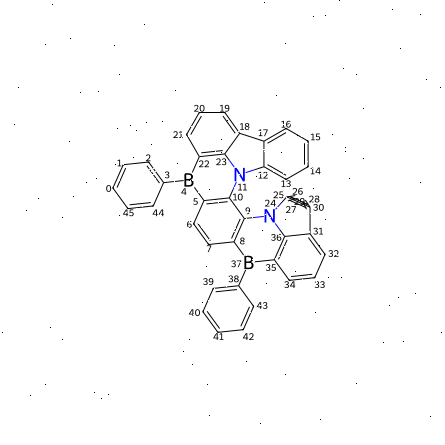 c1ccc(B2c3ccc4c(c3-n3c5ccccc5c5cccc2c53)-n2c3ccccc3c3cccc(c32)B4c2ccccc2)cc1